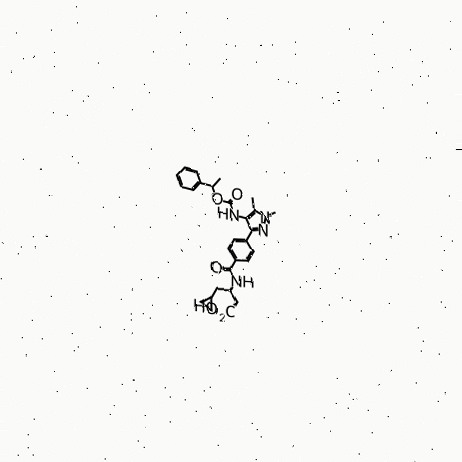 Cc1c(NC(=O)OC(C)c2ccccc2)c(-c2ccc(C(=O)NC(CC(=O)O)CC3CC3)cc2)nn1C